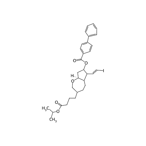 CC(C)OC(=O)CCCC1CCC2C(/C=C/I)C(OC(=O)c3ccc(-c4ccccc4)cc3)C[C@@H]2OC1